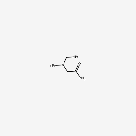 CCCN(CC(N)=O)CC(C)C